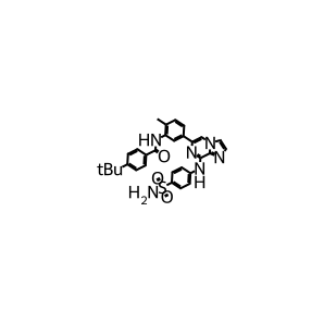 Cc1ccc(-c2cn3ccnc3c(Nc3ccc(S(N)(=O)=O)cc3)n2)cc1NC(=O)c1ccc(C(C)(C)C)cc1